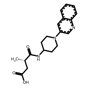 C[C@@H](CC(=O)O)C(=O)NC1CCN(c2cnc3ccccc3c2)CC1